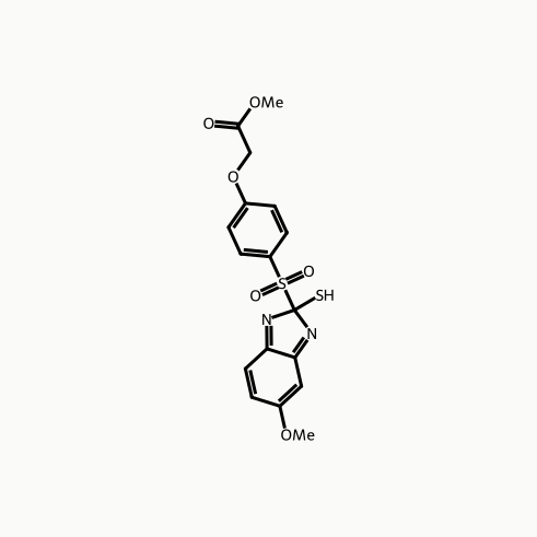 COC(=O)COc1ccc(S(=O)(=O)C2(S)N=c3ccc(OC)cc3=N2)cc1